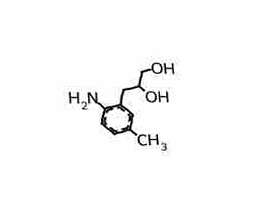 Cc1ccc(N)c(CC(O)CO)c1